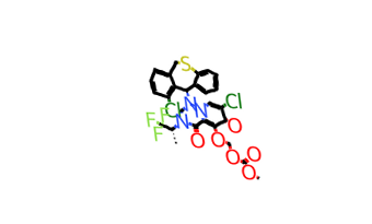 COC(=O)OCOc1c2n(cc(Cl)c1=O)N([C@@H]1c3ccccc3SCc3cccc(Cl)c31)CN([C@H](C)C(F)(F)F)C2=O